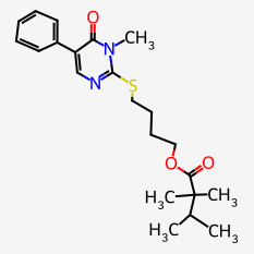 CC(C)C(C)(C)C(=O)OCCCCSc1ncc(-c2ccccc2)c(=O)n1C